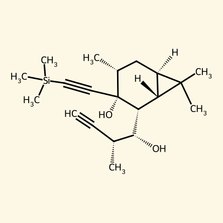 C#C[C@@H](C)[C@@H](O)[C@H]1[C@@H]2[C@@H](C[C@@H](C)[C@]1(O)C#C[Si](C)(C)C)C2(C)C